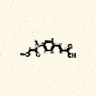 COCC(=O)N(C)c1ccc(C=CC(=O)O)cc1